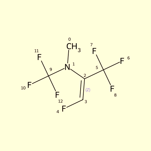 CN(/C(=C\F)C(F)(F)F)C(F)(F)F